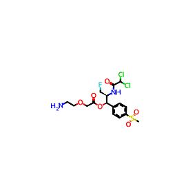 CS(=O)(=O)c1ccc([C@@H](OC(=O)COCCN)[C@@H](CF)NC(=O)C(Cl)Cl)cc1